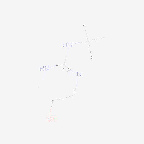 CC(C)(C)NC1=NCC(O)CN1